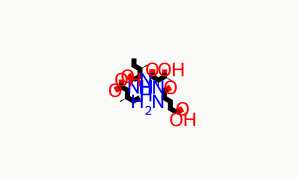 CC[C@H](C)[C@H](NC(=O)[C@@H](NC(=O)[C@@H](NC(=O)[C@@H](N)CCC(=O)O)[C@@H](C)O)[C@@H](C)CC)C(=O)O